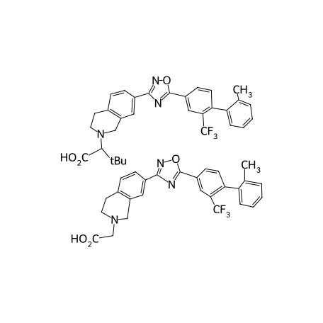 Cc1ccccc1-c1ccc(-c2nc(-c3ccc4c(c3)CN(C(C(=O)O)C(C)(C)C)CC4)no2)cc1C(F)(F)F.Cc1ccccc1-c1ccc(-c2nc(-c3ccc4c(c3)CN(CC(=O)O)CC4)no2)cc1C(F)(F)F